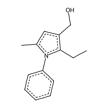 CCc1c(CO)cc(C)n1-c1ccccc1